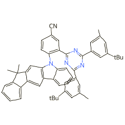 Cc1cc(-c2nc(-c3cc(C)cc(C(C)(C)C)c3)nc(-c3cc(C#N)ccc3-n3c4ccccc4c4cc5c(cc43)C(C)(C)c3ccccc3-5)n2)cc(C(C)(C)C)c1